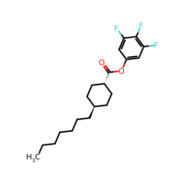 CCCCCCC[C@H]1CC[C@H](C(=O)Oc2cc(F)c(F)c(F)c2)CC1